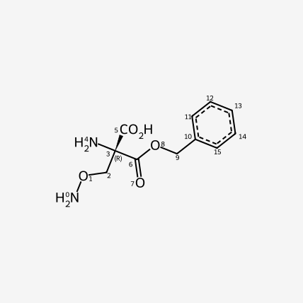 NOC[C@@](N)(C(=O)O)C(=O)OCc1ccccc1